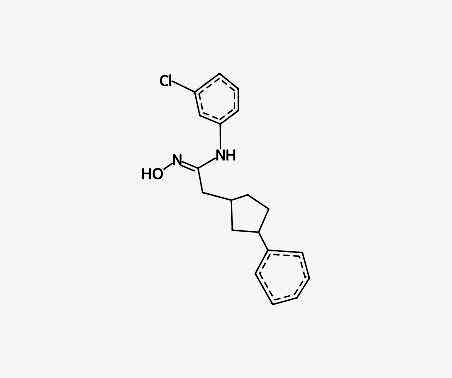 O/N=C(\CC1CCC(c2ccccc2)C1)Nc1cccc(Cl)c1